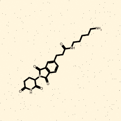 NCCCCCNC(=O)CCc1ccc2c(c1)C(=O)N(C1CCC(=O)NC1=O)C2=O